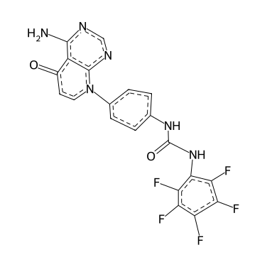 Nc1ncnc2c1c(=O)ccn2-c1ccc(NC(=O)Nc2c(F)c(F)c(F)c(F)c2F)cc1